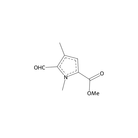 COC(=O)c1cc(C)c(C=O)n1C